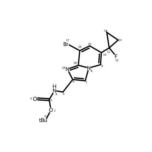 CC(C)(C)OC(=O)NCc1cn2cc(C3(F)CC3)cc(Br)c2n1